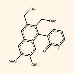 COc1cc2cc(COC(C)=O)c(COC(C)=O)c(-c3ccc[nH]c3=O)c2cc1OC